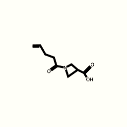 C=CCCC(=O)N1CC(C(=O)O)C1